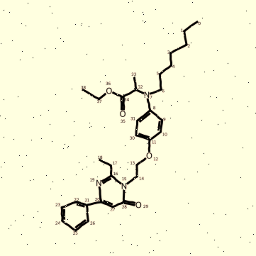 CCCCCCCN(c1ccc(OCCn2c(CC)nc(-c3ccccc3)cc2=O)cc1)C(C)C(=O)OCC